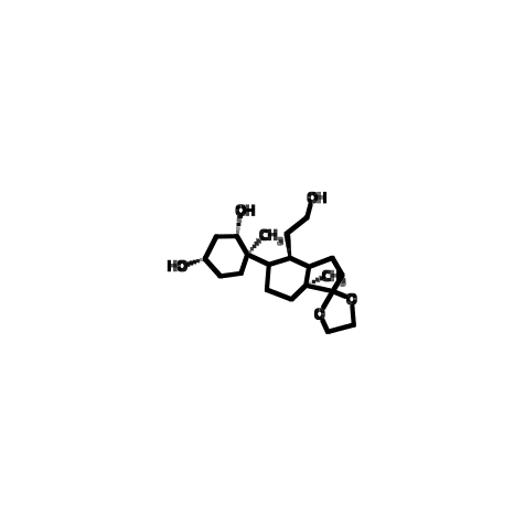 C[C@]12CCC([C@@]3(C)CC[C@H](O)C[C@@H]3O)[C@@H](CCO)C1CCC21OCCO1